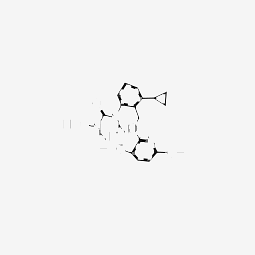 Cc1ccc(C)c(OCc2c(C3CC3)cccc2N(N)C(=O)N(C)N)n1